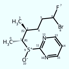 C[C@H]([C@@H](C)CCC(F)Br)[S+]([O-])c1ncccn1